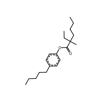 CCCCCc1ccc(OC(=O)C(C)(CC)CCCC)cc1